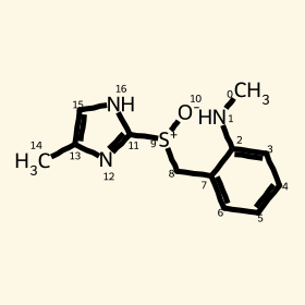 CNc1ccccc1C[S+]([O-])c1nc(C)c[nH]1